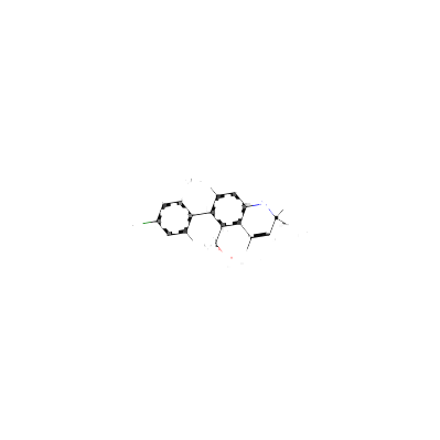 COc1cc(F)ccc1-c1c(OC)cc2c(c1CO)C(C)=CC(C)(C)N2